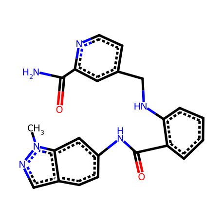 Cn1ncc2ccc(NC(=O)c3ccccc3NCc3ccnc(C(N)=O)c3)cc21